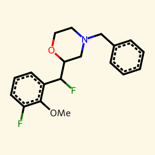 COc1c(F)cccc1C(F)C1CN(Cc2ccccc2)CCO1